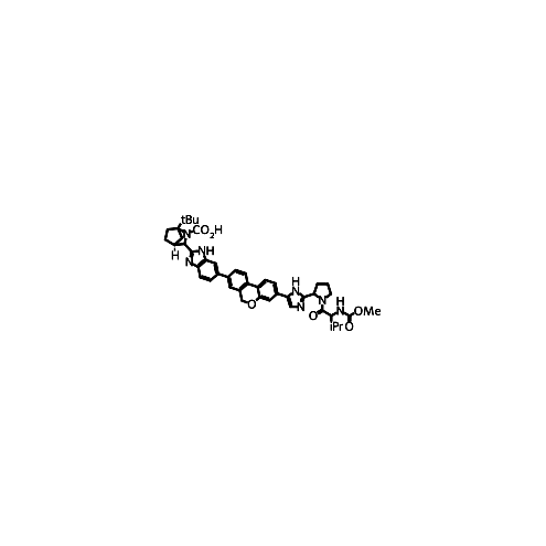 COC(=O)NC(C(=O)N1CCCC1c1ncc(-c2ccc3c(c2)OCc2cc(-c4ccc5nc(C6[C@H]7CCC(C(C)(C)C)(C7)N6C(=O)O)[nH]c5c4)ccc2-3)[nH]1)C(C)C